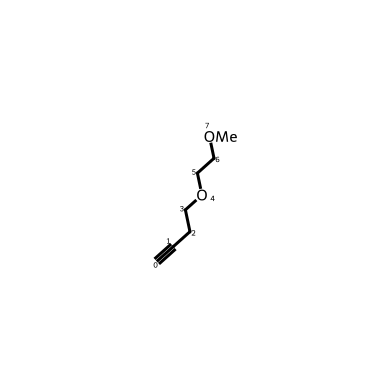 C#CCCOCCOC